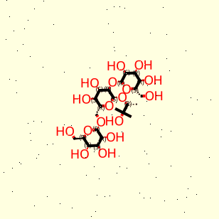 C[C@@H](O[C@@H]1O[C@H](CO[C@H]2O[C@H](CO)[C@@H](O)[C@H](O)[C@H]2O)[C@@H](O)[C@H](O)[C@H]1O[C@H]1O[C@@H](CO)[C@H](O)[C@@H](O)[C@@H]1O)C(C)(C)O